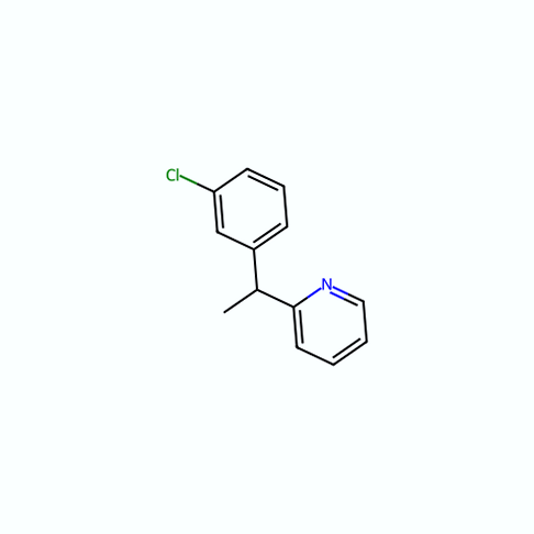 CC(c1cccc(Cl)c1)c1ccccn1